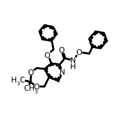 CC1(C)OCc2cnc(C(=O)NOCc3ccccc3)c(OCc3ccccc3)c2CO1